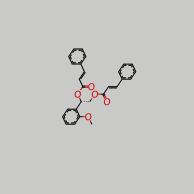 COc1ccccc1[C@@H](COC(=O)/C=C/c1ccccc1)OC(=O)/C=C/c1ccccc1